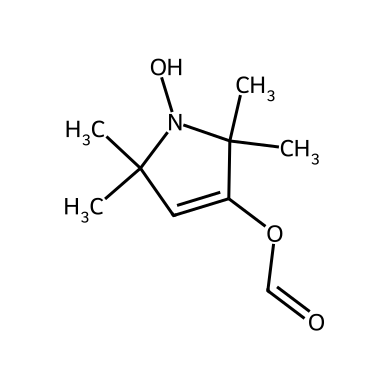 CC1(C)C=C(OC=O)C(C)(C)N1O